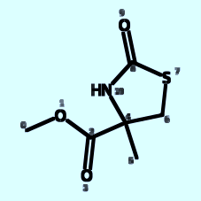 COC(=O)C1(C)CSC(=O)N1